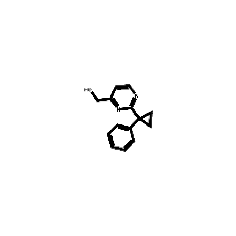 OCc1ccnc(C2(c3ccccc3)CC2)n1